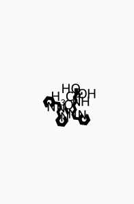 C[C@H](NC(=O)CN(CCN(Cc1ccccn1)Cc1ccccn1)Cc1ccccn1)B(O)O